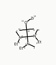 CCN(C)C(N(C)CC)(N(C)CC)C(C)(C)[O][Zr]